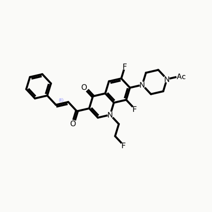 CC(=O)N1CCN(c2c(F)cc3c(=O)c(C(=O)/C=C/c4ccccc4)cn(CCF)c3c2F)CC1